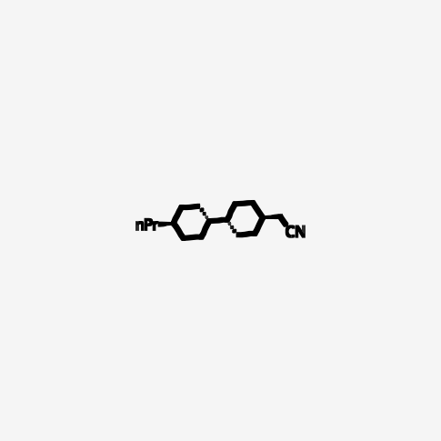 CCC[C@H]1CC[C@H]([C@H]2CC[C@H](CC#N)CC2)CC1